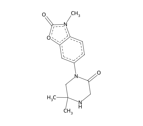 Cn1c(=O)oc2cc(N3CC(C)(C)NCC3=O)ccc21